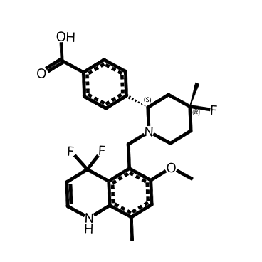 COc1cc(C)c2c(c1CN1CC[C@@](C)(F)C[C@H]1c1ccc(C(=O)O)cc1)C(F)(F)C=CN2